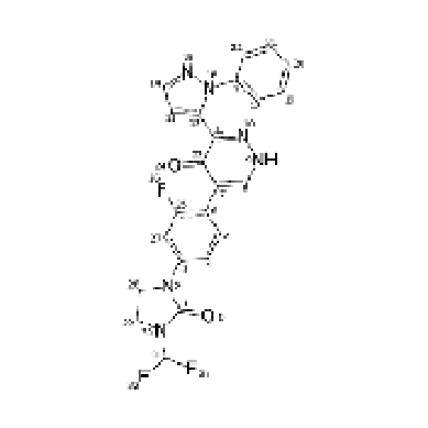 O=C1N(c2ccc(-c3c[nH]nc(-c4ccnn4-c4ccccc4)c3=O)c(F)c2)CCN1C(F)F